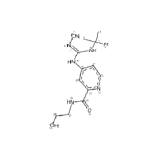 CCC(C)(C)N/C(=N\C#N)Nc1ccnc(C(=O)NCCO)c1